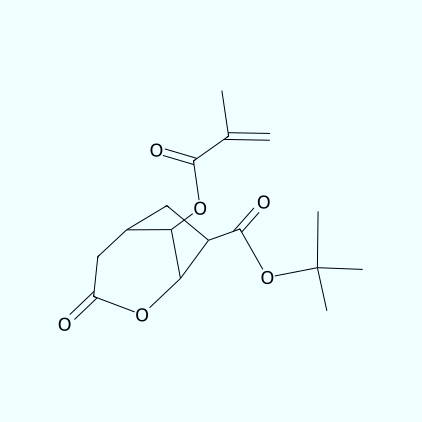 C=C(C)C(=O)OC1C2CC(=O)OC1C(C(=O)OC(C)(C)C)C2